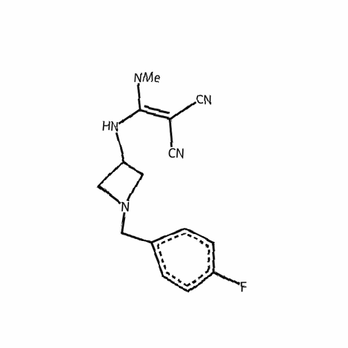 CNC(NC1CN(Cc2ccc(F)cc2)C1)=C(C#N)C#N